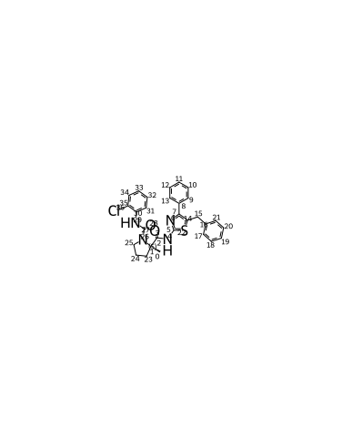 C[C@@]1(C(=O)Nc2nc(-c3ccccc3)c(Cc3ccccc3)s2)CCCN1C(=O)Nc1ccccc1Cl